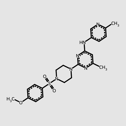 COc1ccc(S(=O)(=O)N2CCN(c3nc(C)cc(Nc4ccc(C)nc4)n3)CC2)cc1